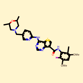 COc1cc(OC)c(I)c(NC(=O)c2csc3c(Nc4ccc(CN5CC(C)OC(C)C5)cn4)ncnc23)c1C